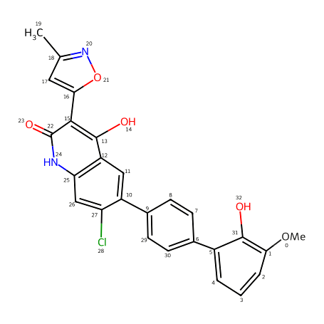 COc1cccc(-c2ccc(-c3cc4c(O)c(-c5cc(C)no5)c(=O)[nH]c4cc3Cl)cc2)c1O